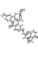 Cc1ccc2c(c1)c(CC(=O)O)c(C)n2C(=O)c1ccc(OC[C@@H]2CN(C)c3cc(F)ccc3O2)cc1